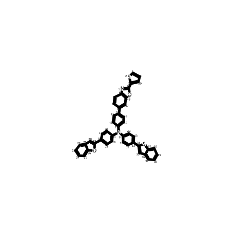 c1csc(-c2nc3ccc(-c4ccc(N(c5ccc(-c6cc7ccccc7o6)cc5)c5ccc(-c6cc7ccccc7s6)cc5)cc4)cc3o2)c1